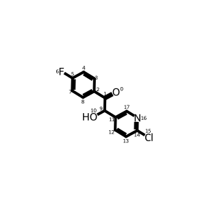 O=C(c1ccc(F)cc1)C(O)c1ccc(Cl)nc1